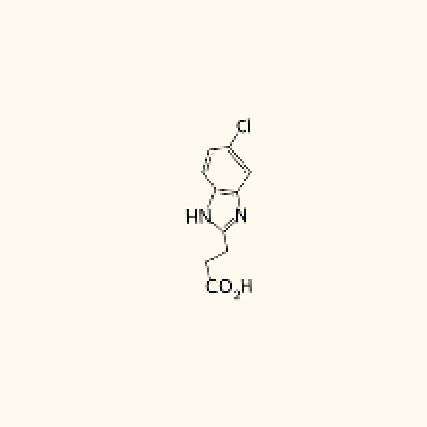 O=C(O)CCc1nc2cc(Cl)ccc2[nH]1